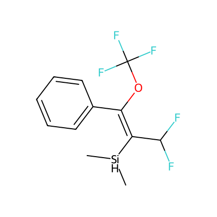 C[SiH](C)C(=C(OC(F)(F)F)c1ccccc1)C(F)F